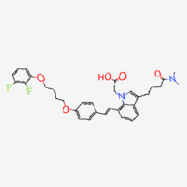 CN(C)C(=O)CCCc1cn(CC(=O)O)c2c(/C=C/c3ccc(OCCCCOc4cccc(F)c4F)cc3)cccc12